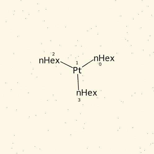 CCCCC[CH2][Pt]([CH2]CCCCC)[CH2]CCCCC